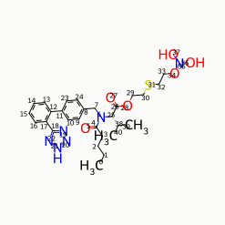 CCCCC(=O)N(Cc1ccc(-c2ccccc2-c2nn[nH]n2)cc1)[C@H](C(=O)OCCSCCON(O)O)C(C)C